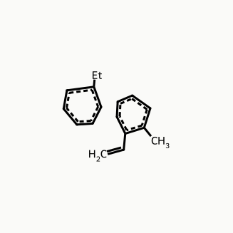 C=Cc1ccccc1C.CCc1ccccc1